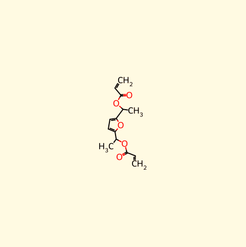 C=CC(=O)OC(C)c1ccc(C(C)OC(=O)C=C)o1